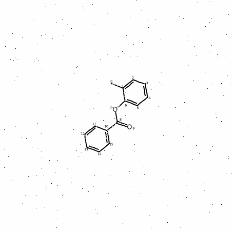 Cc1ccccc1OC(=O)c1[c]cccc1